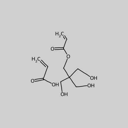 C=CC(=O)O.C=CC(=O)OCC(CO)(CO)CO